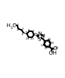 CCCCC[C@H]1CC[C@H](c2nnc(-c3ccc(C(=O)O)cc3)s2)CC1